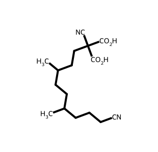 CC(CCCC#N)CCC(C)CCC(C#N)(C(=O)O)C(=O)O